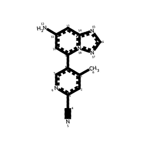 Cc1cc(C#N)ncc1-c1cc(N)cc2ncnn12